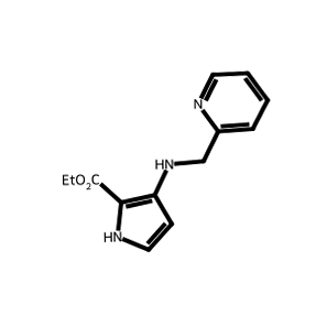 CCOC(=O)c1[nH]ccc1NCc1ccccn1